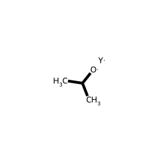 CC(C)[O].[Y]